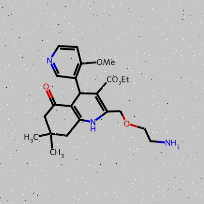 CCOC(=O)C1=C(COCCN)NC2=C(C(=O)CC(C)(C)C2)C1c1cnccc1OC